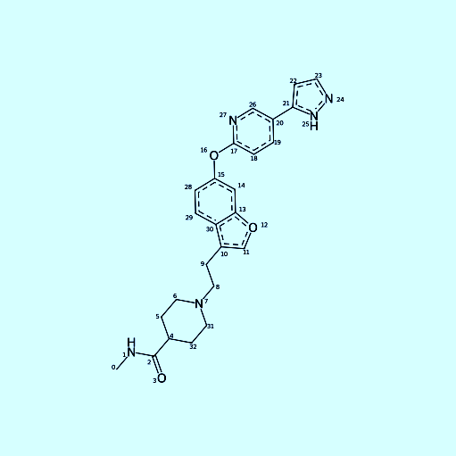 CNC(=O)C1CCN(CCc2coc3cc(Oc4ccc(-c5ccn[nH]5)cn4)ccc23)CC1